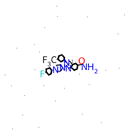 NC(=O)c1ccc2c(c1)[C]N(c1cccc(C(F)(F)F)c1)C(N1CCN(c3ccc(F)cc3)CC1)=N2